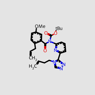 C=CCCn1cnnc1-c1cccc(N(C(=O)OC(C)(C)C)C(=O)c2cc(OC)ccc2CC=C)n1